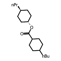 CCCCC1CCC(C(=O)O[C@H]2CC[C@H](CCC)CC2)CC1